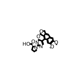 COc1cc2cc3c(c(-c4cnc(N5CCC[C@H]5C(=O)O)nc4)c2cc1OC)C(=O)OC3